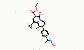 CCOC(=O)c1cc(C2CC2)c2c(C)c(-c3ccc(/C(C)=N/OC)cc3)ccn2c1=O